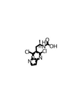 C[C@H](Cc1c(Cl)nc2ccnn2c1Cl)NC(=O)O